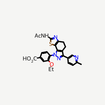 CCOc1cc(C(=O)O)ccc1-n1nc(-c2ccc(C)nc2)c2c1-c1sc(NC(C)=O)nc1CC2